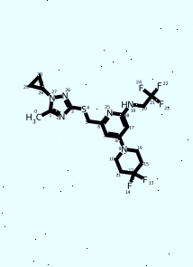 Cc1nc(SCc2cc(N3CCC(F)(F)CC3)cc(NCC(F)(F)F)n2)nn1C1CC1